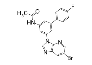 CC(=O)Nc1cc(-c2ccc(F)cc2)cc(-n2cnc3cc(Br)cnc32)c1